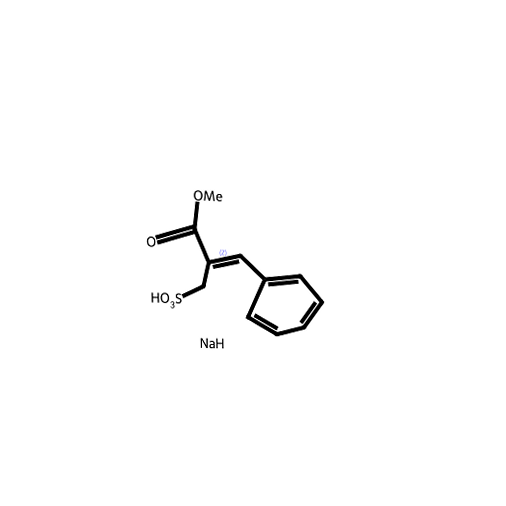 COC(=O)/C(=C/c1ccccc1)CS(=O)(=O)O.[NaH]